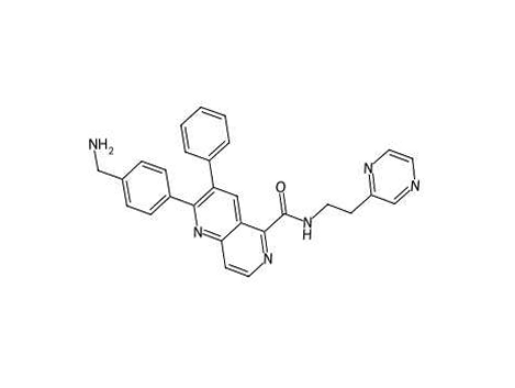 NCc1ccc(-c2nc3ccnc(C(=O)NCCc4cnccn4)c3cc2-c2ccccc2)cc1